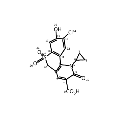 O=C(O)c1cc2c(n(C3CC3)c1=O)-c1cc(Cl)c(O)cc1S(=O)(=O)C2